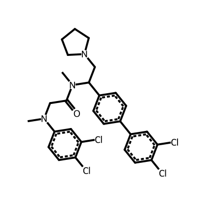 CN(CC(=O)N(C)C(CN1CCCC1)c1ccc(-c2ccc(Cl)c(Cl)c2)cc1)c1ccc(Cl)c(Cl)c1